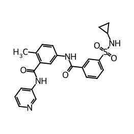 Cc1ccc(NC(=O)c2cccc(S(=O)(=O)NC3CC3)c2)cc1C(=O)Nc1cccnc1